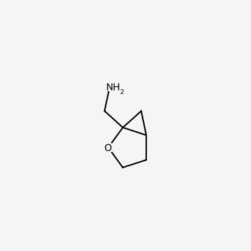 NCC12CC1CCO2